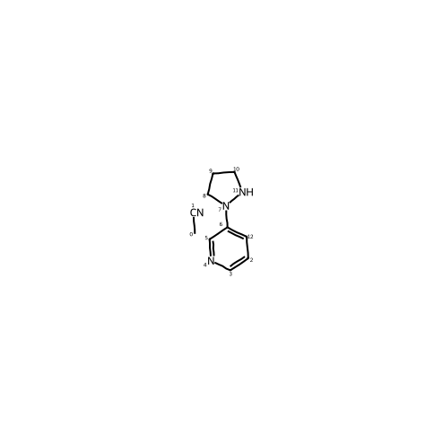 CC#N.c1cncc(N2CCCN2)c1